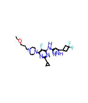 CCOCCCN1CCN(c2nc(C3CC3)nc(Nc3cc(C4CC(F)(F)C4)[nH]n3)c2F)CC1